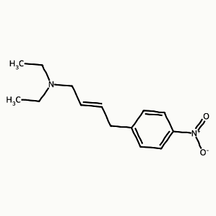 CCN(CC)CC=CCc1ccc([N+](=O)[O-])cc1